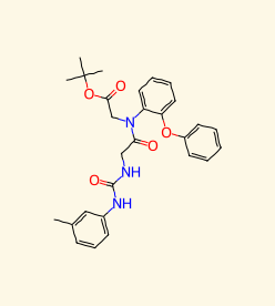 Cc1cccc(NC(=O)NCC(=O)N(CC(=O)OC(C)(C)C)c2ccccc2Oc2ccccc2)c1